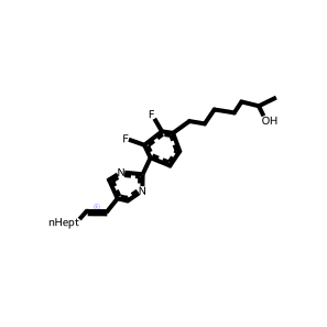 CCCCCCC/C=C/c1cnc(-c2ccc(CCCCCC(C)O)c(F)c2F)nc1